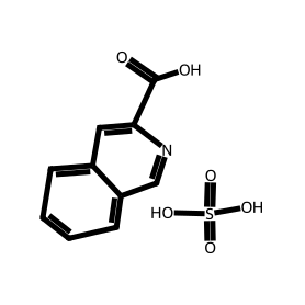 O=C(O)c1cc2ccccc2cn1.O=S(=O)(O)O